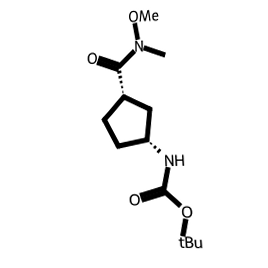 CON(C)C(=O)[C@H]1CC[C@@H](NC(=O)OC(C)(C)C)C1